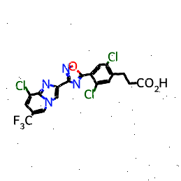 O=C(O)CCc1cc(Cl)c(-c2nc(-c3cn4cc(C(F)(F)F)cc(Cl)c4n3)no2)cc1Cl